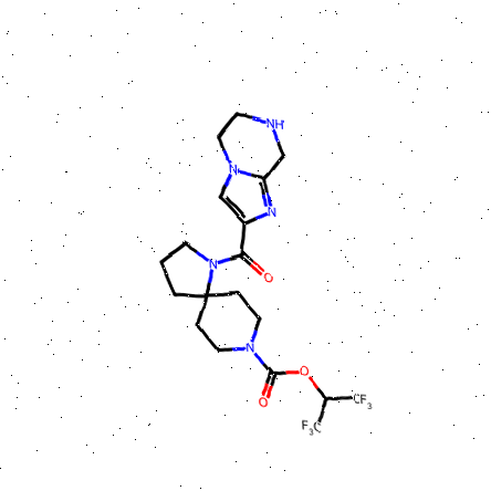 O=C(OC(C(F)(F)F)C(F)(F)F)N1CCC2(CCCN2C(=O)c2cn3c(n2)CNCC3)CC1